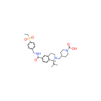 CCS(=O)(=O)c1ccc(CNC(=O)c2ccc3c(c2)CCN(CC2CCN(C(=O)O)CC2)[C@H]3C(C)C)cc1